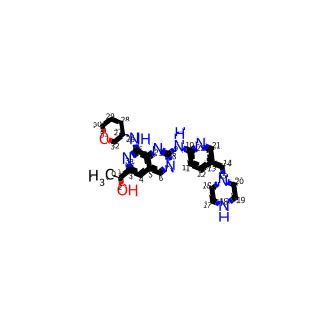 C[C@@H](O)c1cc2cnc(Nc3ccc(CN4CCNCC4)cn3)nc2c(N[C@H]2CCCOC2)n1